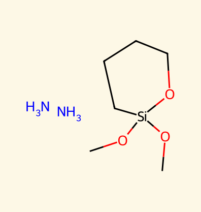 CO[Si]1(OC)CCCCO1.N.N